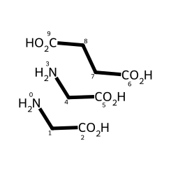 NCC(=O)O.NCC(=O)O.O=C(O)CCC(=O)O